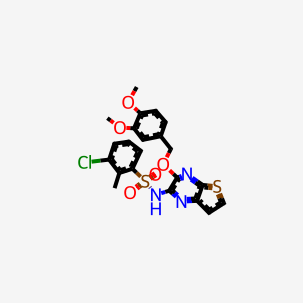 COc1ccc(COc2nc3sccc3nc2NS(=O)(=O)c2cccc(Cl)c2C)cc1OC